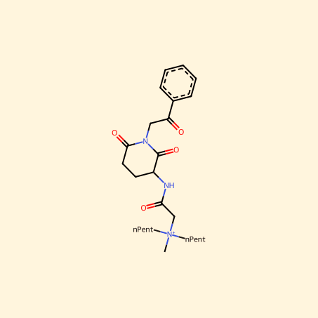 CCCCC[N+](C)(CCCCC)CC(=O)NC1CCC(=O)N(CC(=O)c2ccccc2)C1=O